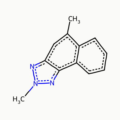 Cc1cc2nn(C)nc2c2ccccc12